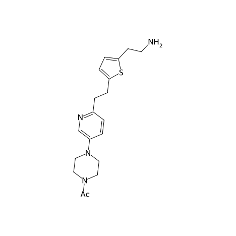 CC(=O)N1CCN(c2ccc(CCc3ccc(CCN)s3)nc2)CC1